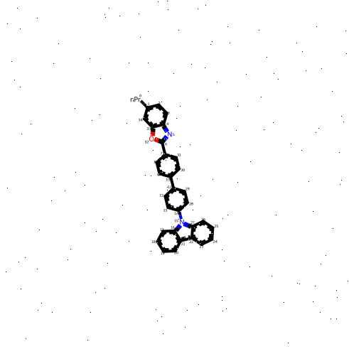 CCCc1ccc2nc(-c3ccc(-c4ccc(-n5c6ccccc6c6ccccc65)cc4)cc3)oc2c1